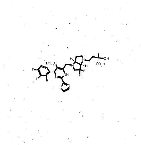 CCOC(=O)C1=C(CN2CC(F)(F)[C@H]3[C@@H]2CCN3CC[C@@](C)(O)C(=O)O)NC(c2nccs2)=N[C@@H]1c1ccc(F)c(F)c1C